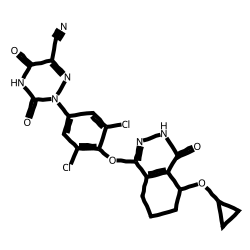 N#Cc1nn(-c2cc(Cl)c(Oc3n[nH]c(=O)c4c3CCCC4OC3CC3)c(Cl)c2)c(=O)[nH]c1=O